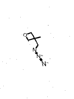 CC1(CN=[N+]=[N-])[CH]OC1